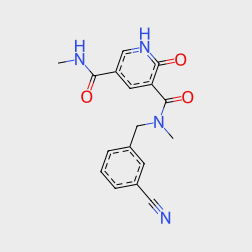 CNC(=O)c1c[nH]c(=O)c(C(=O)N(C)Cc2cccc(C#N)c2)c1